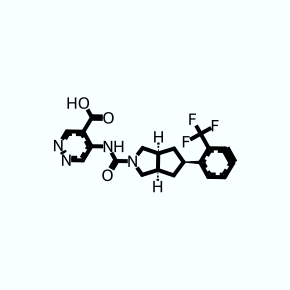 O=C(O)c1cnncc1NC(=O)N1C[C@H]2C[C@@H](c3ccc#cc3C(F)(F)F)C[C@H]2C1